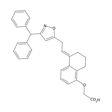 O=C(O)COc1cccc2c1CCCC2=CCc1cc(C(c2ccccc2)c2ccccc2)no1